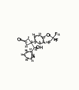 O=C1CC(c2ccc(OC(F)(F)F)cc2)(C(O)c2ccccn2)C1